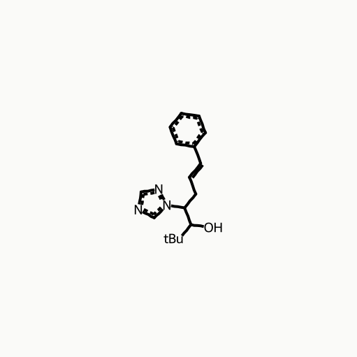 CC(C)(C)C(O)C(C/C=C/c1ccccc1)n1cncn1